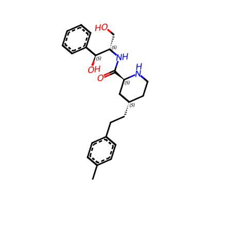 Cc1ccc(CC[C@H]2CCN[C@H](C(=O)N[C@@H](CO)[C@@H](O)c3ccccc3)C2)cc1